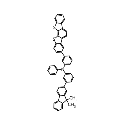 CC1(C)c2ccccc2-c2ccc(-c3cccc(N(c4ccccc4)c4cccc(-c5ccc6sc7c(ccc8c9ccccc9sc87)c6c5)c4)c3)cc21